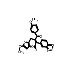 COc1ccc(C(=O)C(Cc2ccc(OC)s2)=C(C(=O)O)c2ccc3nsnc3c2)cc1